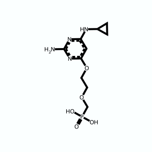 Nc1nc(NC2CC2)cc(OCCOCP(=O)(O)O)n1